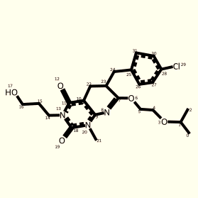 CC(C)OCCOC1=Nc2c(c(=O)n(CCCO)c(=O)n2C)CC1Cc1ccc(Cl)cc1